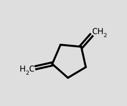 C=C1CCC(=C)C1